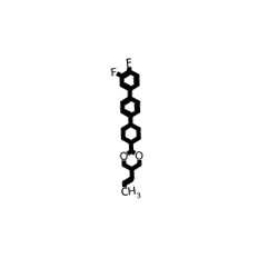 CC=CC1COC(C2CCC(c3ccc(-c4ccc(F)c(F)c4)cc3)CC2)OC1